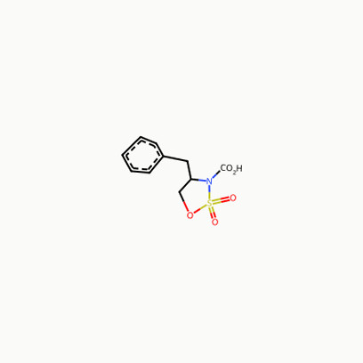 O=C(O)N1C(Cc2ccccc2)COS1(=O)=O